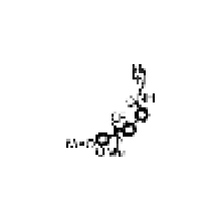 COc1ccc(-c2[nH]c3ccc(-c4cccc(C(=O)NCCN5CCOCC5)c4)cc3c2CC(F)(F)F)cc1OC